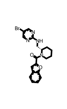 O=C(c1cc2ccccc2o1)N1CCCC[C@H]1CNc1ncc(Br)cn1